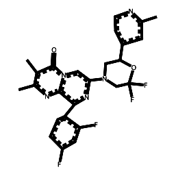 Cc1cc(C2CN(c3cn4c(=O)c(C)c(C)nc4c(-c4ccc(F)cc4F)n3)CC(F)(F)O2)ccn1